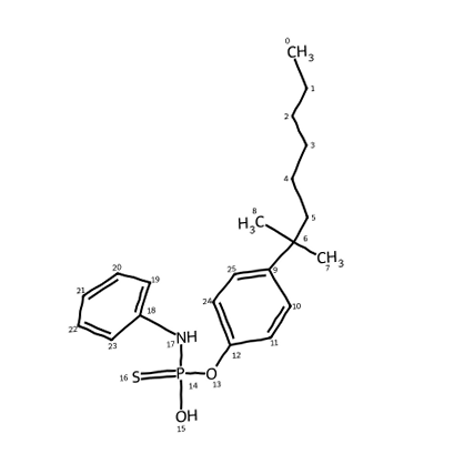 CCCCCCC(C)(C)c1ccc(OP(O)(=S)Nc2ccccc2)cc1